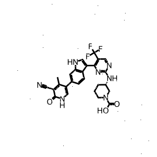 Cc1c(-c2ccc3c(-c4nc(N[C@H]5CCCN(C(=O)O)C5)ncc4C(F)(F)F)c[nH]c3c2)c[nH]c(=O)c1C#N